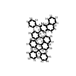 c1ccc(-c2nc3c(ccc4ccccc43)nc2-c2ccccc2-c2cccc3ccc4c(c23)-c2ccccc2C4(c2ccccc2)c2ccccc2)cc1